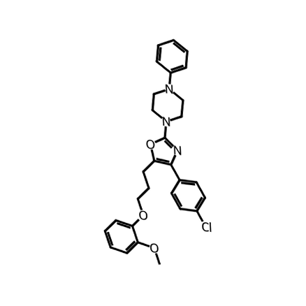 COc1ccccc1OCCCc1oc(N2CCN(c3ccccc3)CC2)nc1-c1ccc(Cl)cc1